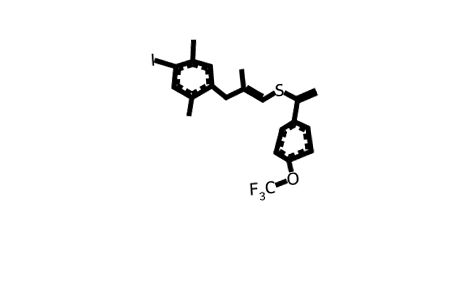 C=C(S/C=C(\C)Cc1cc(C)c(I)cc1C)c1ccc(OC(F)(F)F)cc1